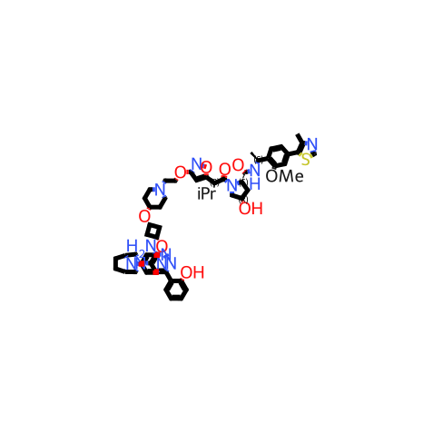 COc1cc(-c2scnc2C)ccc1[C@H](C)NC(=O)[C@@H]1C[C@@H](O)CN1C(=O)[C@@H](c1cc(OCCN2CCC(O[C@H]3C[C@H](Oc4cc(N5C6CCC5CN(c5cc(-c7ccccc7O)nnc5N)C6)ccn4)C3)CC2)no1)C(C)C